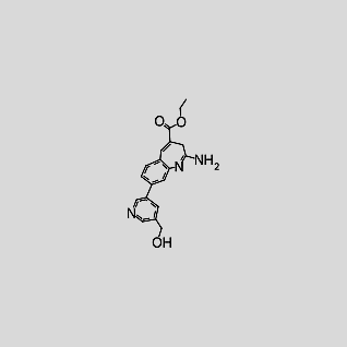 CCOC(=O)C1=Cc2ccc(-c3cncc(CO)c3)cc2N=C(N)C1